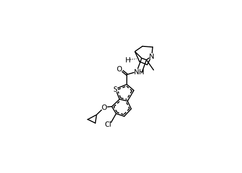 CC1(C)[C@@H](NC(=O)c2cc3ccc(Cl)c(OC4CC4)c3s2)C2CCN1CC2